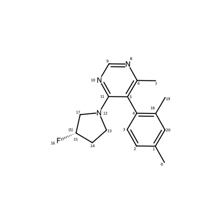 Cc1ccc(-c2c(C)ncnc2N2CC[C@H](F)C2)c(C)c1